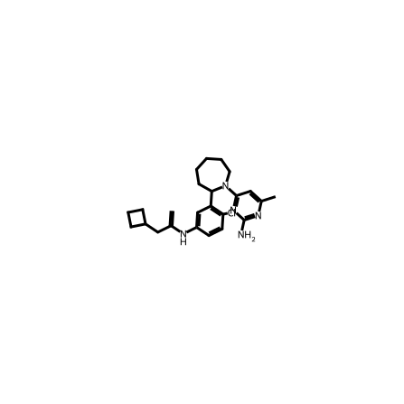 C=C(CC1CCC1)Nc1ccc(Cl)c(C2CCCCCN2c2cc(C)nc(N)n2)c1